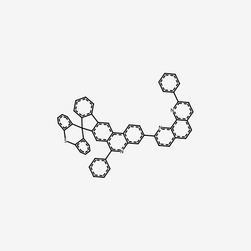 c1ccc(-c2ccc3ccc4ccc(-c5ccc6c(c5)nc(-c5ccccc5)c5cc7c(cc56)-c5ccccc5C75c6ccccc6Sc6ccccc65)nc4c3n2)cc1